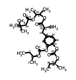 CCC(C)OC(=O)Oc1cc(C[C@H](N)C(=O)OC(C)C(C)OC(=O)CC(C)(C)C)ccc1OC(=O)O[C@@H](C)CC